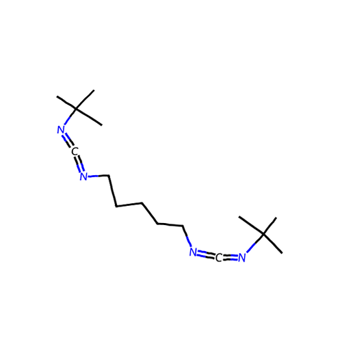 CC(C)(C)N=C=NCCCCCN=C=NC(C)(C)C